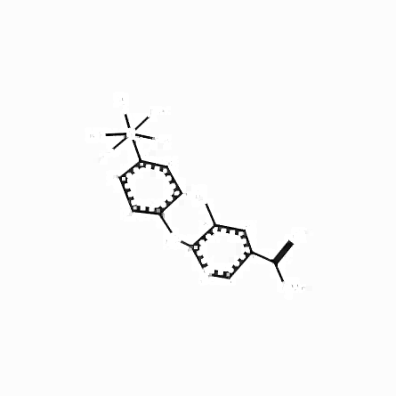 COC(=O)c1cnc(Oc2ccc(S(F)(F)(F)(F)F)cc2)c(Br)c1